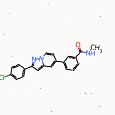 CNC(=O)c1cccc(-c2ccn3nc(-c4ccc(Cl)cc4)cc3c2)c1